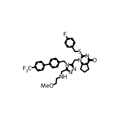 COCCNCc1nnc(Cn2c(SCc3ccc(F)cc3)nc(=O)c3c2CCC3)n1Cc1ccc(-c2ccc(C(F)(F)F)cc2)cc1